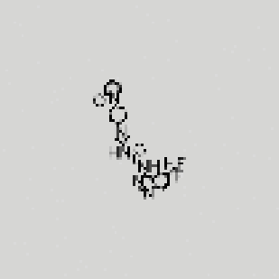 O=C(CNc1ncnc2ccc(C(F)(F)F)cc12)NC1CN(C2CCC(n3ccccc3=O)CC2)C1